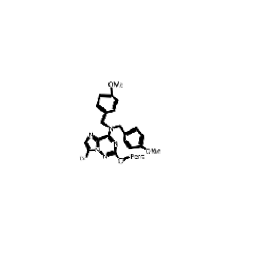 CCCC(C)Oc1nc(N(Cc2ccc(OC)cc2)Cc2ccc(OC)cc2)c2ncc(Br)n2n1